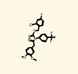 COc1ccc(Cc2nnc(SCc3ccc(F)cc3Cl)n2-c2ccc(C(F)(F)F)cc2)cc1OC